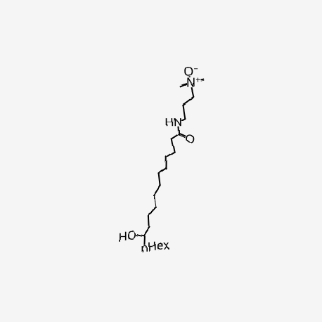 CCCCCCC(O)CCCCCCCCCCC(=O)NCCC[N+](C)(C)[O-]